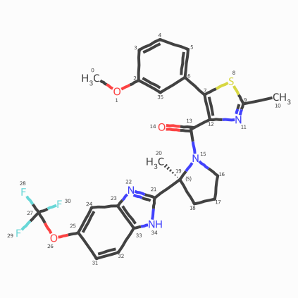 COc1cccc(-c2sc(C)nc2C(=O)N2CCC[C@@]2(C)c2nc3cc(OC(F)(F)F)ccc3[nH]2)c1